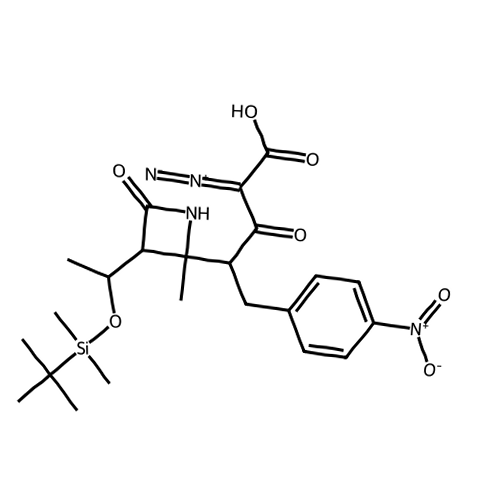 CC(O[Si](C)(C)C(C)(C)C)C1C(=O)NC1(C)C(Cc1ccc([N+](=O)[O-])cc1)C(=O)C(=[N+]=[N-])C(=O)O